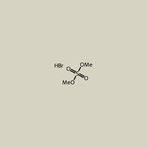 Br.COS(=O)(=O)OC